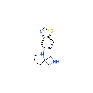 c1nc2cc(N3CCCC34CNC4)ccc2s1